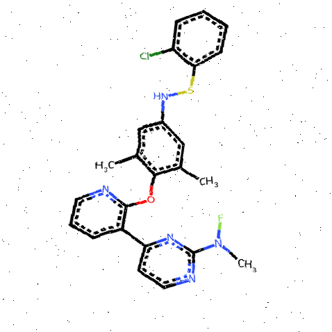 Cc1cc(NSc2ccccc2Cl)cc(C)c1Oc1ncccc1-c1ccnc(N(C)F)n1